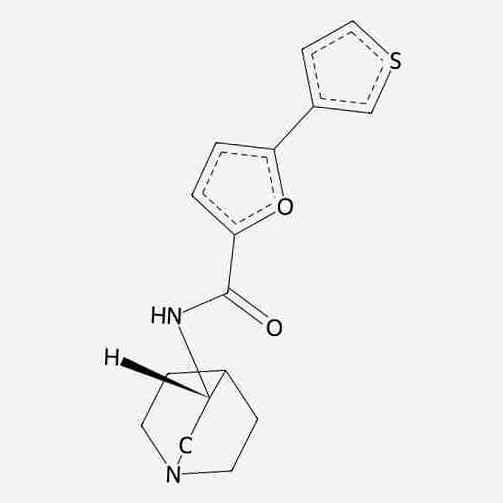 O=C(N[C@H]1CN2CCC1CC2)c1ccc(-c2ccsc2)o1